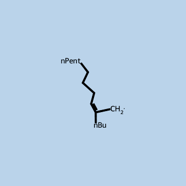 [CH2]C(=CCCCCCCCC)CCCC